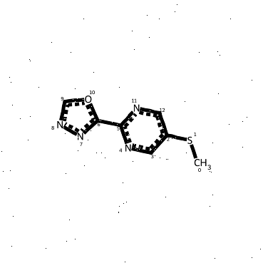 CSc1cnc(-c2nnco2)nc1